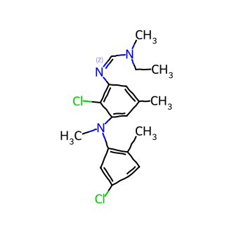 CCN(C)/C=N\c1cc(C)cc(N(C)c2cc(Cl)ccc2C)c1Cl